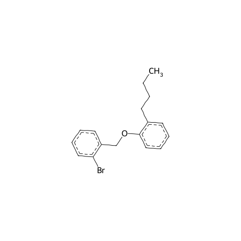 CCCCc1ccccc1OCc1ccccc1Br